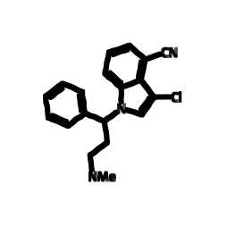 CNCCC(c1ccccc1)n1cc(Cl)c2c(C#N)cccc21